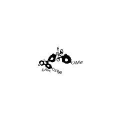 COc1ccc(S(=O)(=O)Nc2ccc(C3=NC4CCN(C)CC4c4cc(OC)c(OC)cc43)cc2)cc1